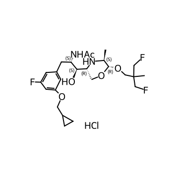 CC(=O)N[C@@H](Cc1cc(F)cc(OCC2CC2)c1)[C@H](O)[C@H]1CO[C@@H](OCC(C)(CF)CF)[C@H](C)N1.Cl